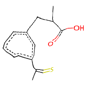 CC(=S)c1cccc(CC(C)C(=O)O)c1